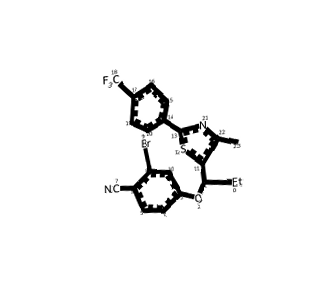 CCC(Oc1ccc(C#N)c(Br)c1)c1sc(-c2ccc(C(F)(F)F)cc2)nc1C